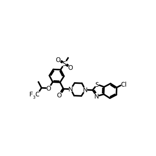 CC(Oc1ccc(S(C)(=O)=O)cc1C(=O)N1CCN(c2nc3ccc(Cl)cc3s2)CC1)C(F)(F)F